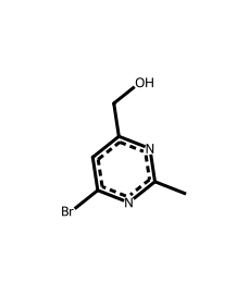 Cc1nc(Br)cc(CO)n1